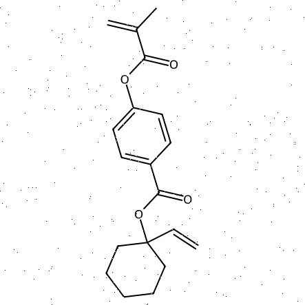 C=CC1(OC(=O)c2ccc(OC(=O)C(=C)C)cc2)CCCCC1